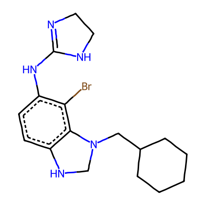 Brc1c(NC2=NCCN2)ccc2c1N(CC1CCCCC1)CN2